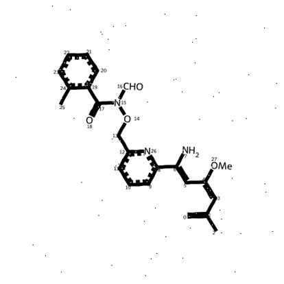 C=C(C)/C=C(\C=C(/N)c1cccc(CON(C=O)C(=O)c2ccccc2C)n1)OC